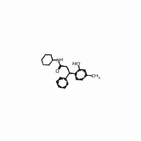 Cc1ccc(C(CC(=O)NC2CCCCC2)c2ccccc2)c(O)c1